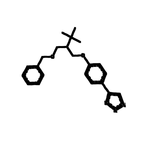 CC(C)(C)C(COCc1ccccc1)COc1ccc(-c2cnns2)cc1